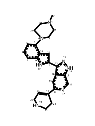 CN1CCN(c2cccc3[nH]c(-c4n[nH]c5cnc(C6=CCNCC6)cc45)cc23)CC1